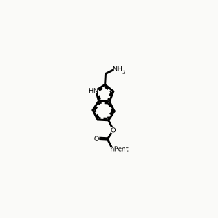 CCCCCC(=O)Oc1ccc2[nH]c(CN)cc2c1